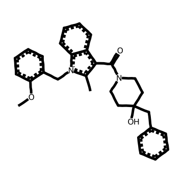 COc1ccccc1Cn1c(C)c(C(=O)N2CCC(O)(Cc3ccccc3)CC2)c2ccccc21